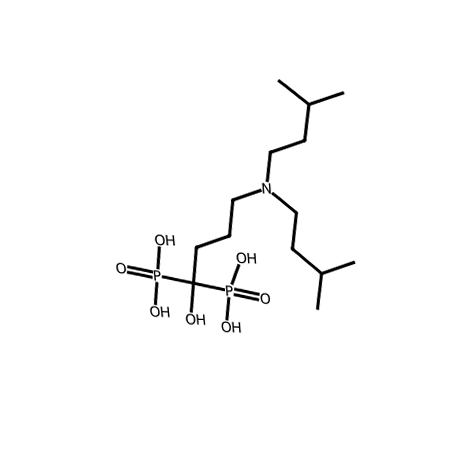 CC(C)CCN(CCCC(O)(P(=O)(O)O)P(=O)(O)O)CCC(C)C